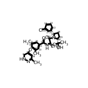 CC1=NNCC(Oc2c(C)cc(C(=O)N[C@H](C)C(=O)N3[C@H](c4cccc(Cl)c4)CC[C@@H]3C(C)(C)O)cc2C)=C1